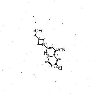 N#Cc1cc(N2CC(CO)C2)nc2ccc(Cl)cc12